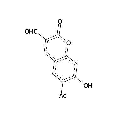 CC(=O)c1cc2cc(C=O)c(=O)oc2cc1O